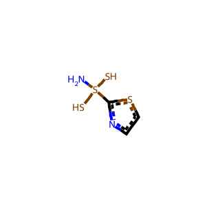 NS(S)(S)c1nccs1